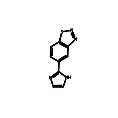 c1c[nH]c(-c2ccc3snnc3c2)n1